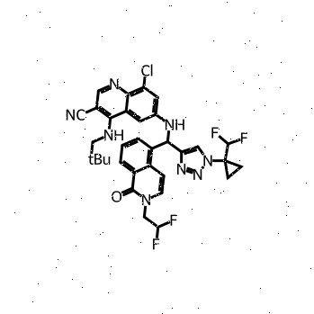 CC(C)(C)CNc1c(C#N)cnc2c(Cl)cc(NC(c3cn(C4(C(F)F)CC4)nn3)c3cccc4c(=O)n(CC(F)F)ccc34)cc12